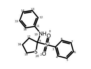 O=S(=O)(c1ccccc1)C1(Nc2ccccc2)CCCS1